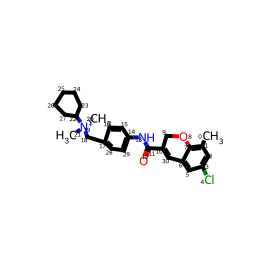 Cc1cc(Cl)cc2c1OCC(C(=O)Nc1ccc(C[N+](C)(C)C3CCCCC3)cc1)=C2